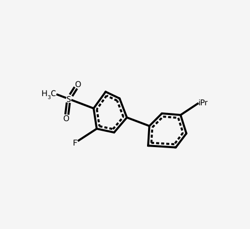 CC(C)c1cccc(-c2ccc(S(C)(=O)=O)c(F)c2)c1